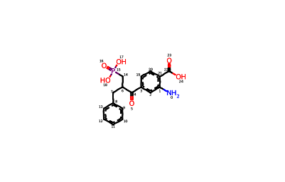 Nc1cc(C(=O)C(Cc2ccccc2)CP(=O)(O)O)ccc1C(=O)O